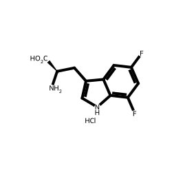 Cl.N[C@H](Cc1c[nH]c2c(F)cc(F)cc12)C(=O)O